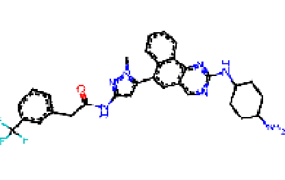 Cn1nc(NC(=O)Cc2cccc(C(F)(F)F)c2)cc1-c1cc2cnc(NC3CCC(N)CC3)nc2c2ccccc12